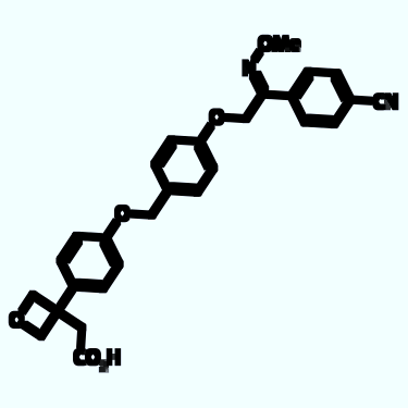 CON=C(COc1ccc(COc2ccc(C3(CC(=O)O)COC3)cc2)cc1)c1ccc(C#N)cc1